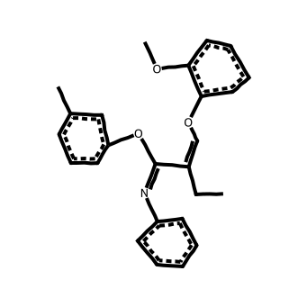 CCC(=COc1ccccc1OC)C(=Nc1ccccc1)Oc1cccc(C)c1